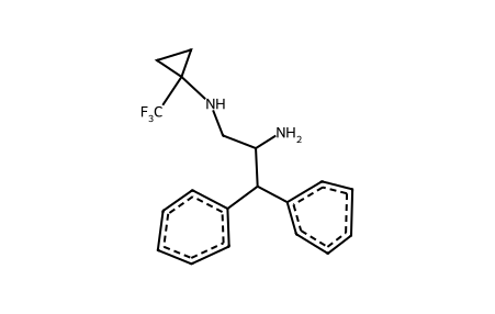 NC(CNC1(C(F)(F)F)CC1)C(c1ccccc1)c1ccccc1